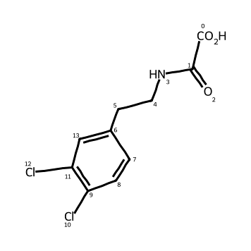 O=C(O)C(=O)NCCc1ccc(Cl)c(Cl)c1